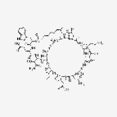 CCC(C)C1NC(=O)C(C(C)CC(=O)O)NC(=O)C(CC(N)=O)NC(=O)CNC(=O)C(C(OC)C(=O)O)NC(=O)C(CCCCN)NC(=O)C(CC(=O)O)NC(=O)C(C)NC(=O)CNC(=O)C(NC(=O)C(NC(=O)C(CCC(=O)O)NC(=O)C(Cc2c[nH]c3ccccc23)NC(=O)CCCCCCC(C)C)C(O)C(N)=O)C(C)OC1=O